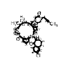 CC#CCN1CCN(C[C@]2(O)CC[C@@H](C)[C@H](C)CS(=O)(=O)NC(=O)c3ccc4c(c3)N(C[C@H]3CCCc5cc(Cl)ccc5C3O4)C[C@@H]3CC[C@H]32)CC1=O